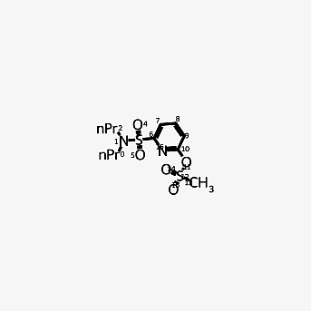 CCCN(CCC)S(=O)(=O)c1cccc(OS(C)(=O)=O)n1